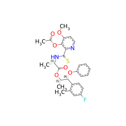 COc1ccnc(C(=S)N[C@@H](C)C(=O)O[C@@H](C)[C@H](Oc2ccccc2)c2ccc(F)cc2C)c1OC(C)=O